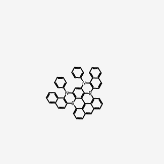 c1ccc(N2c3cc4c5c6c3B(c3ccc7ccccc7c32)c2cccc3cc7cccc(c7c-6c23)B5c2ccc3ccccc3c2N4c2ccccc2)cc1